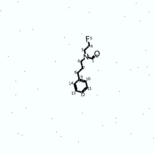 O=CN(CCF)CCCc1ccccc1